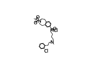 CN(CCCCC(=O)c1ccc2c(c1)CCN(S(C)(=O)=O)CC2)CCc1ccccc1Cl.Cl